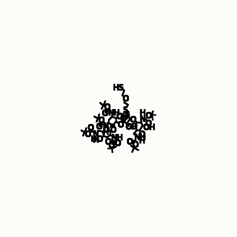 CC(C)(C)OC(=O)NCC1OC(OC2C(O)C(OC3C(O)C(NC(=O)OC(C)(C)C)CC(NC(=O)OC(C)(C)C)[C@H]3OC3OC(CNC(=O)OC(C)(C)C)C(O)C(O)C3NC(=O)OC(C)(C)C)O[C@@H]2CSCCOCCS)C(NC(=O)OC(C)(C)C)C(O)C1O